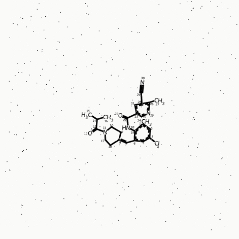 Cc1cc(Cl)cc(C=C2CCN(C(=O)C(C)C)CC2)c1NC(=O)c1cnc(C)c(C#N)c1